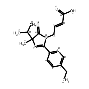 CCc1ccc(C2=NC(C)(C(C)C)C(=O)N2CC=CC(=O)O)nc1